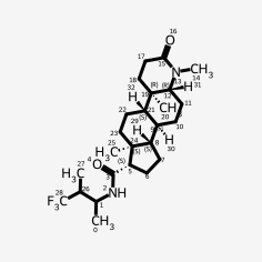 CC(NC(=O)[C@H]1CC[C@H]2[C@@H]3CC[C@H]4N(C)C(=O)CC[C@]4(C)[C@H]3CC[C@]12C)C(C)C(F)(F)F